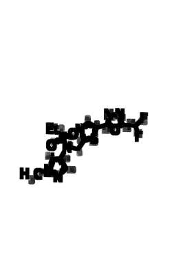 CCS(=O)(=O)N(Cc1ncc(-c2nnc(C(F)F)o2)s1)c1cnn(C)c1